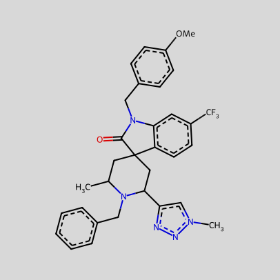 COc1ccc(CN2C(=O)C3(CC(C)N(Cc4ccccc4)C(c4cn(C)nn4)C3)c3ccc(C(F)(F)F)cc32)cc1